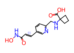 O=C(/C=C/c1ccc(CNC2(C(=O)O)CCC2)nc1)NO